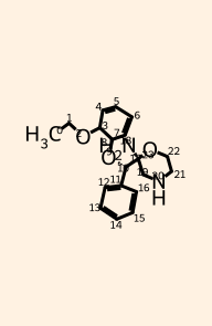 CCOC1C=CC=CC1O[C@@H](c1ccccc1)[C@@]1(N)CNCCO1